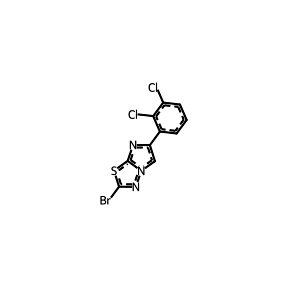 Clc1cccc(-c2cn3nc(Br)sc3n2)c1Cl